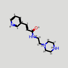 O=C(C=Cc1cccnc1)NCCN1CCNCC1